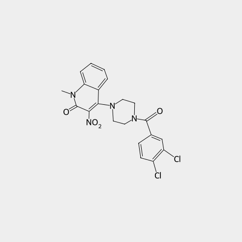 Cn1c(=O)c([N+](=O)[O-])c(N2CCN(C(=O)c3ccc(Cl)c(Cl)c3)CC2)c2ccccc21